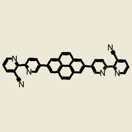 N#Cc1cccnc1-c1ccc(-c2cc3ccc4cc(-c5ccc(-c6ncccc6C#N)nc5)cc5ccc(c2)c3c45)cn1